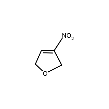 O=[N+]([O-])C1=CCOC1